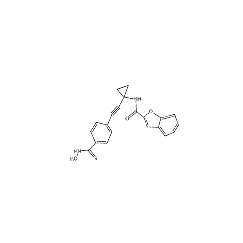 O=C(NC1(C#Cc2ccc(C(=S)NO)cc2)CC1)c1cc2ccccc2o1